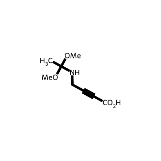 COC(C)(NCC#CC(=O)O)OC